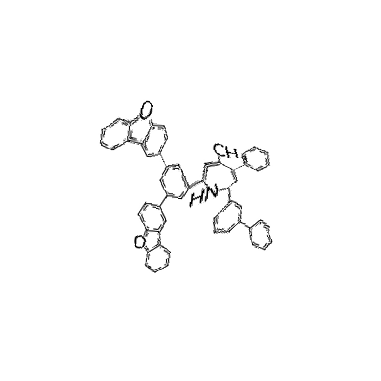 CC1=C=C(c2cc(-c3ccc4oc5ccccc5c4c3)cc(-c3ccc4oc5ccccc5c4c3)c2)NC(c2cccc(-c3ccccc3)c2)C=C1c1ccccc1